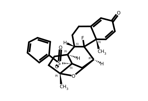 C[C@]12C=CC(=O)C=C1CC[C@H]1[C@@H]3CC[C@@]4(C)O[C@H](C[C@]34S(=O)(=O)c3ccccc3)C12F